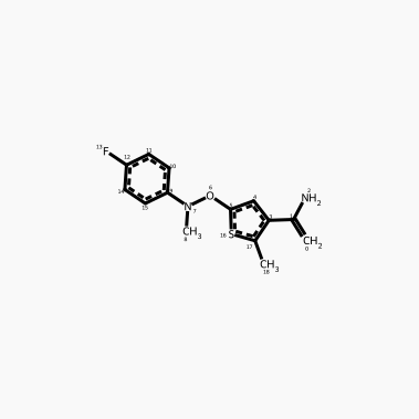 C=C(N)c1cc(ON(C)c2ccc(F)cc2)sc1C